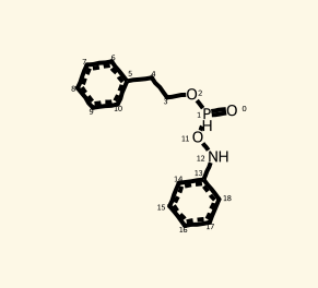 O=[PH](OCCc1ccccc1)ONc1ccccc1